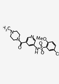 COc1ccc(Cl)cc1S(=O)(=O)Nc1cncc(C(=O)N2CCN(C)CC2)c1